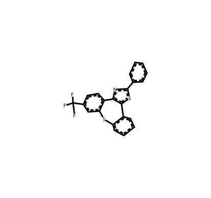 FC(F)(F)c1ccc2c(c1)Sc1ccccc1-c1sc(-c3ccccc3)nc1-2